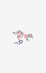 CC(C)(C)OC(=O)O[C@@H]1C[C@H](Oc2cccc3c2CNCC3)[C@H]2OC(C)(C)O[C@H]21